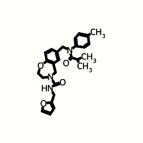 Cc1ccc(N(Cc2ccc3c(c2)CN(C(=O)NCc2ccco2)CCO3)C(=O)C(C)C)cc1